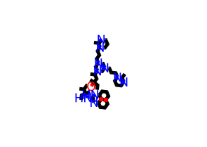 CCC(C)(CC(C)N1CN(CCCN2CCCN=C2C)CN(CCCN2CCCN=C2C)C1)OCC(C)C(C)(CC)N/C(=N/C1CCCCC1)NC1CCCCC1